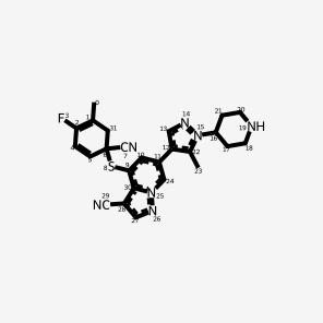 CC1=C(F)C=CC(C#N)(Sc2cc(-c3cnn(C4CCNCC4)c3C)cn3ncc(C#N)c23)C1